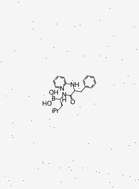 CC(C)C[C@H](NC(=O)C(Cc1ccccc1)Nc1ccccn1)B(O)O